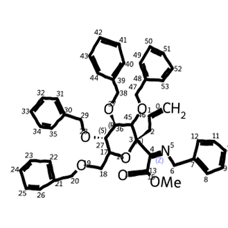 C=CC[C@@]1(/C(=N/Cc2ccccc2)C(=O)OC)OC(COCc2ccccc2)[C@H](OCc2ccccc2)[C@@H](OCc2ccccc2)C1OCc1ccccc1